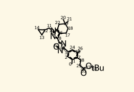 Cc1cc(-c2noc(-c3nn(CC4CC4)c4c3CCC(C)(C)C4)n2)cc(C)c1CCC(=O)OC(C)(C)C